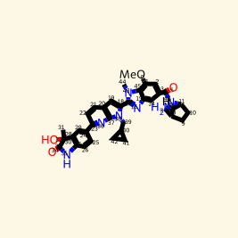 COc1cc(C(=O)N2CC3CCC2[C@@H]3N)cc2nc(-c3cc4ccc(-c5ccc6c(c5)C(C)(O)C(=O)N6)nc4n3CC3CC3)n(C)c12